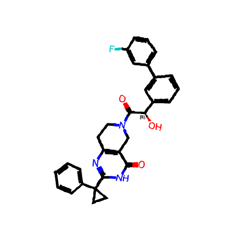 O=C([C@H](O)c1cccc(-c2cccc(F)c2)c1)N1CCc2nc(C3(c4ccccc4)CC3)[nH]c(=O)c2C1